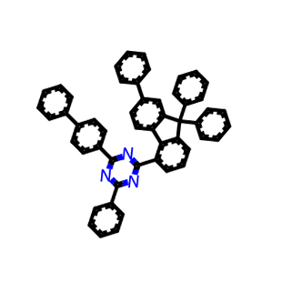 c1ccc(-c2ccc(-c3nc(-c4ccccc4)nc(-c4cccc5c4-c4ccc(-c6ccccc6)cc4C5(c4ccccc4)c4ccccc4)n3)cc2)cc1